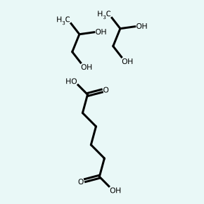 CC(O)CO.CC(O)CO.O=C(O)CCCCC(=O)O